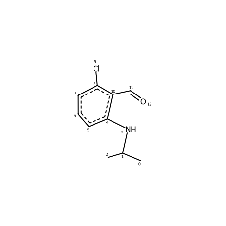 CC(C)Nc1cccc(Cl)c1C=O